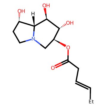 CCC=CCC(=O)O[C@H]1CN2CC[C@H](O)[C@@H]2[C@@H](O)[C@@H]1O